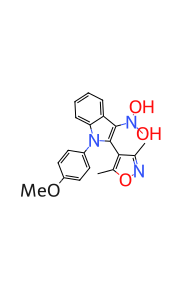 COc1ccc(-n2c(-c3c(C)noc3C)c(N(O)O)c3ccccc32)cc1